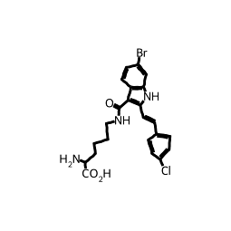 NC(CCCCNC(=O)c1c(C=Cc2ccc(Cl)cc2)[nH]c2cc(Br)ccc12)C(=O)O